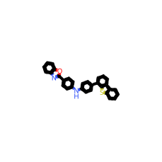 c1ccc2oc(-c3ccc(Nc4ccc(-c5cccc6c5sc5ccccc56)cc4)cc3)nc2c1